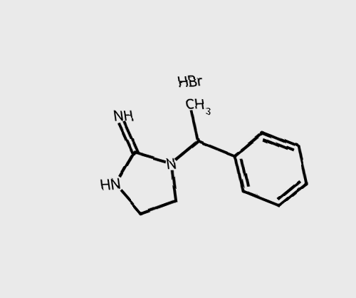 Br.CC(c1ccccc1)N1CCNC1=N